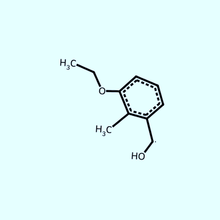 CCOc1cccc([CH]O)c1C